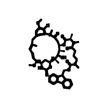 COc1cc2cc(c1Cl)N(C)C(=O)C[C@H](OC(=O)[C@H](C)N(C)C(=O)CCCN(C)C(=O)OCC1c3ccccc3-c3ccccc31)[C@H](C)C(O)[C@H](C)[C@@H]1C[C@@](O)(NC(=O)O1)[C@H](OC)/C=C/C=C(\C)C2